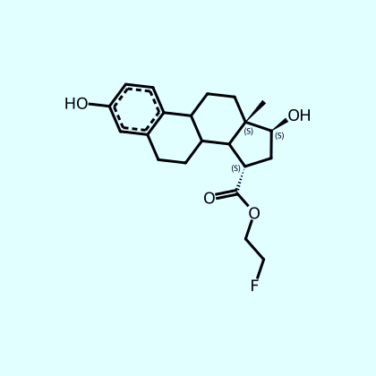 C[C@]12CCC3c4ccc(O)cc4CCC3C1[C@@H](C(=O)OCCF)C[C@@H]2O